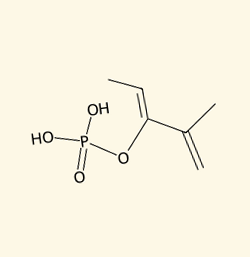 C=C(C)C(=CC)OP(=O)(O)O